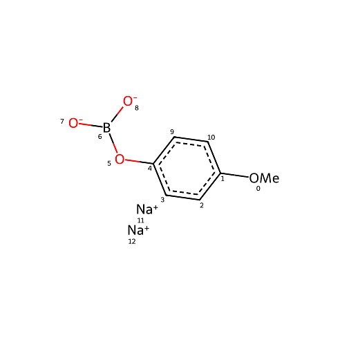 COc1ccc(OB([O-])[O-])cc1.[Na+].[Na+]